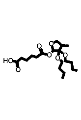 CCCCOC1(OCCCC)C(C)COC1OC(=O)CCCCC(=O)O